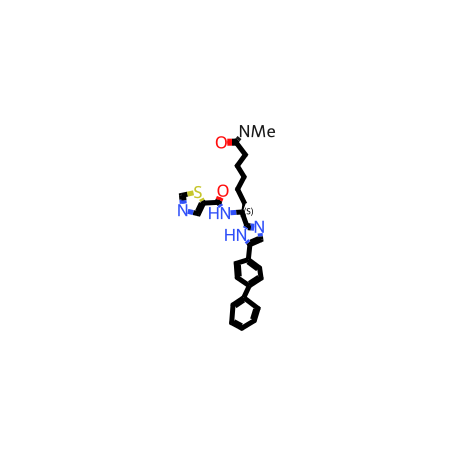 CNC(=O)CCCCC[C@H](NC(=O)c1cncs1)c1ncc(-c2ccc(-c3ccccc3)cc2)[nH]1